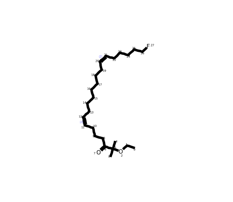 CCOC(C)(C)C(=O)CCC/C=C\CCCCCCC/C=C\CCCCCF